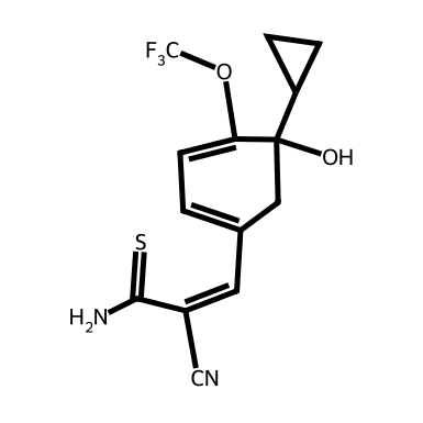 N#CC(=CC1=CC=C(OC(F)(F)F)C(O)(C2CC2)C1)C(N)=S